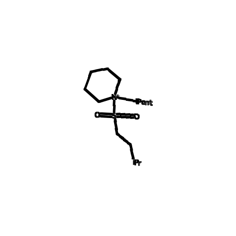 CCCC(C)[N+]1(S(=O)(=O)CCC(C)C)CCCCC1